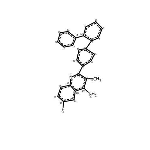 Cc1c(-c2ccc(-c3ccccc3-c3ccccc3)cc2)nc2ccc(F)cc2c1N